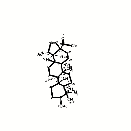 CC(=O)O[C@H]1CC[C@]2(C)[C@H]3CC[C@@H]4[C@H]5[C@H](C(C)=O)CC[C@]5(C(=O)Cl)CC[C@@]4(C)[C@]3(C)CC[C@H]2C1(C)C